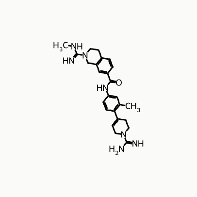 CNC(=N)N1CCc2ccc(C(=O)Nc3ccc(C4=CCN(C(=N)N)CC4)c(C)c3)cc2C1